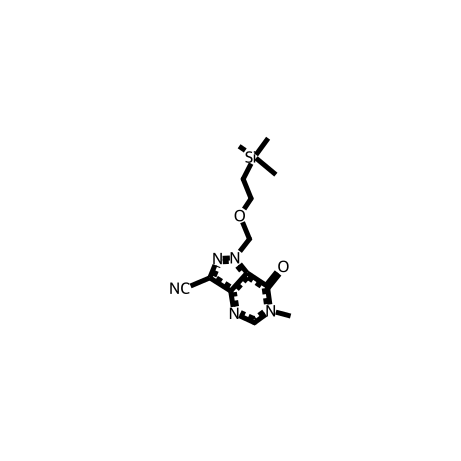 Cn1cnc2c(C#N)nn(COCC[Si](C)(C)C)c2c1=O